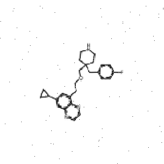 Fc1ccc(CC2(COCCc3cc(C4CC4)cc4nccnc34)CCNCC2)cc1